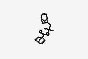 CC(C)(CC1CC2C=CC1C2)OC(=O)C12C=CC(CC1)C2